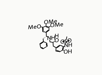 COc1cc([C@@H](Cc2ccccc2)NC[C@@H](O)Cc2ccc(O)c(NS(C)(=O)=O)c2)cc(OC)c1OC